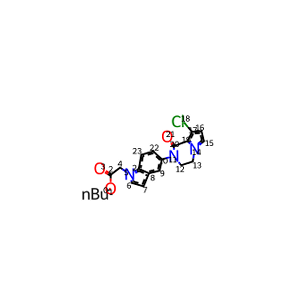 CCCCOC(=O)Cn1ccc2cc(N3CCn4ccc(Cl)c4C3=O)ccc21